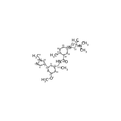 COc1cc(-c2cnn(C)c2)cc([C@@H](C)NC(=O)c2cc(N3CC(C)(N(C)C)C3)ccc2C)c1